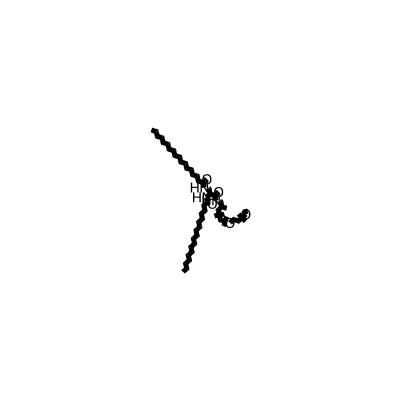 CCCCCCCCCCCCCCCCCC(=O)NCC(NC(=O)CCCCCCCCCCCCCCCCC)C(=O)NCC(C)CC(C)(C)CC(C)(C)OCCC(C)(C)OC